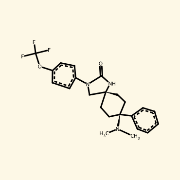 CN(C)[C@]1(c2ccccc2)CC[C@@]2(CC1)CN(c1ccc(OC(F)(F)F)cc1)C(=O)N2